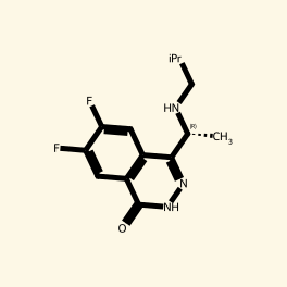 CC(C)CN[C@H](C)c1n[nH]c(=O)c2cc(F)c(F)cc12